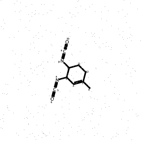 CC1=CC(N=C=O)C(N=C=O)CC1